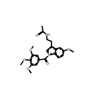 COc1ccc2c(c1)c(CCNC(C)=O)cn2C(=O)c1cc(OC)c(OC)c(OC)c1